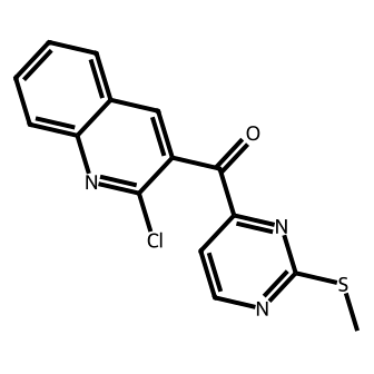 CSc1nccc(C(=O)c2cc3ccccc3nc2Cl)n1